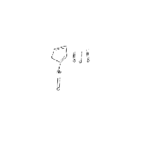 [C]=O.[C]=O.[C]=O.[C]=O.[Nb][C]1=CC=CC1